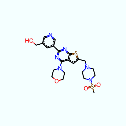 CS(=O)(=O)N1CCN(Cc2cc3c(N4CCOCC4)nc(-c4cncc(CO)c4)nc3s2)CC1